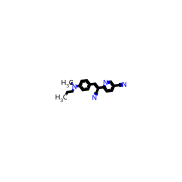 CCCN(C)c1ccc(/C=C(\C#N)c2ccc(C#N)cn2)cc1